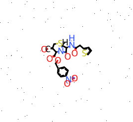 O=C=C1CS[C@@H]2C(NC(=O)Cc3cccs3)C(=O)N2C1C(=O)OCc1ccc([N+](=O)[O-])cc1